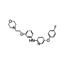 Fc1ccc(Oc2ccc(Nc3cccc(OCCN4CCOCC4)c3)nc2)cc1